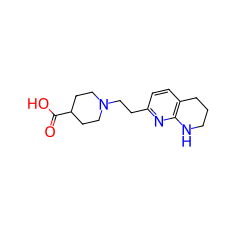 O=C(O)C1CCN(CCc2ccc3c(n2)NCCC3)CC1